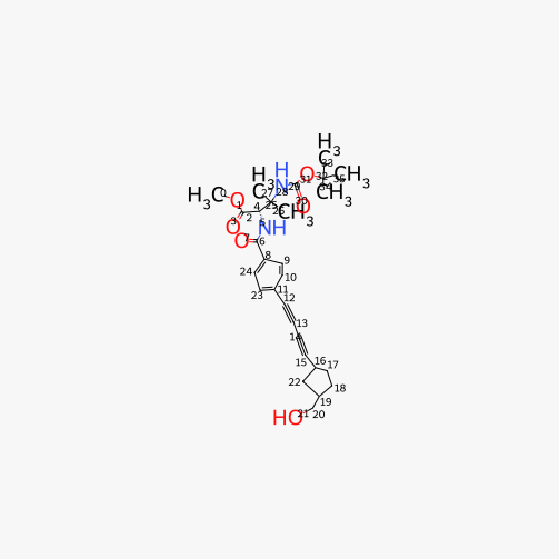 COC(=O)[C@@H](NC(=O)c1ccc(C#CC#CC2CCC(CO)C2)cc1)C(C)(C)NC(=O)OC(C)(C)C